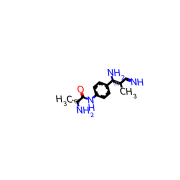 C/C(C=N)=C(/N)c1ccc(NC(=O)[C@@H](C)N)cc1